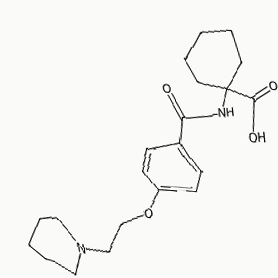 O=C(NC1(C(=O)O)CCCCC1)c1ccc(OCCN2CCCCC2)cc1